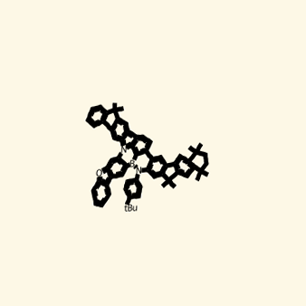 CC(C)(C)c1ccc(N2B3c4cc5c(cc4-n4c6cc7c(cc6c6ccc(c3c64)-c3cc4c(cc32)C(C)(C)c2cc3c(cc2-4)C(C)(C)CCC3(C)C)C(C)(C)c2ccccc2-7)oc2ccccc25)cc1